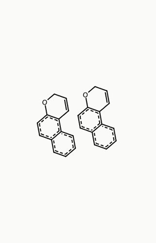 C1=Cc2c(ccc3ccccc23)OC1.C1=Cc2c(ccc3ccccc23)OC1